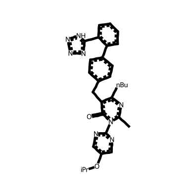 CCCCc1nc(C)n(-c2ncc(OC(C)C)cn2)c(=O)c1Cc1ccc(-c2ccccc2-c2nnn[nH]2)cc1